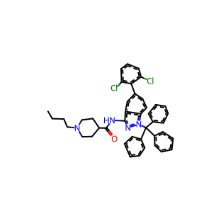 CCCCN1CCC(C(=O)Nc2nn(C(c3ccccc3)(c3ccccc3)c3ccccc3)c3ccc(-c4c(Cl)cccc4Cl)cc23)CC1